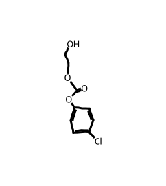 O=C(OCCO)Oc1ccc(Cl)cc1